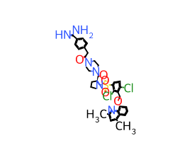 Cc1cc(C)c2cccc(OCc3c(Cl)ccc(S(=O)(=O)N4CCC[C@H]4C(=O)N4CCN(C(=O)Cc5ccc(C(=N)N)cc5)CC4)c3Cl)c2n1